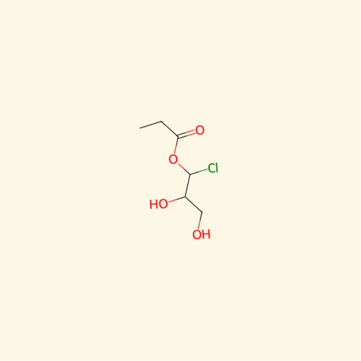 CCC(=O)OC(Cl)C(O)CO